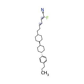 CCCc1ccc([C@H]2CC[C@H](C3CCC(CC/C=C/C=C(\F)C#N)CC3)CC2)cc1